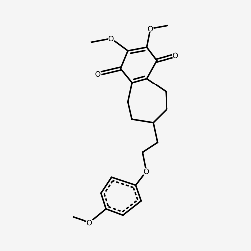 COC1=C(OC)C(=O)C2=C(CCC(CCOc3ccc(OC)cc3)CC2)C1=O